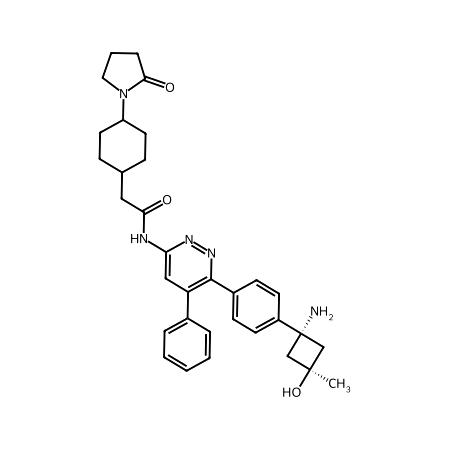 C[C@]1(O)C[C@@](N)(c2ccc(-c3nnc(NC(=O)CC4CCC(N5CCCC5=O)CC4)cc3-c3ccccc3)cc2)C1